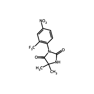 CC1(C)NC(=O)N(c2ccc([N+](=O)[O-])cc2C(F)(F)F)C1=O